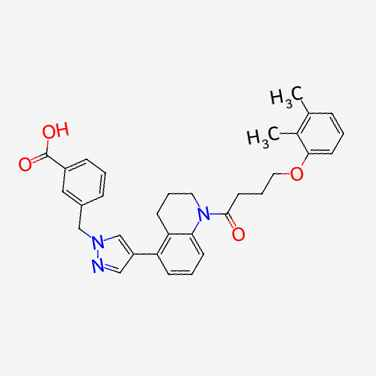 Cc1cccc(OCCCC(=O)N2CCCc3c(-c4cnn(Cc5cccc(C(=O)O)c5)c4)cccc32)c1C